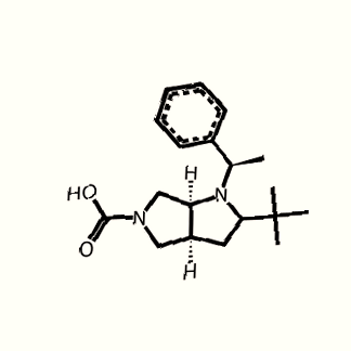 C[C@H](c1ccccc1)N1C(C(C)(C)C)C[C@H]2CN(C(=O)O)C[C@H]21